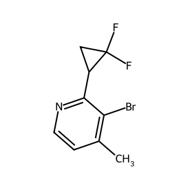 Cc1ccnc(C2CC2(F)F)c1Br